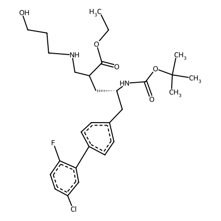 CCOC(=O)C(CNCCCO)C[C@@H](Cc1ccc(-c2cc(Cl)ccc2F)cc1)NC(=O)OC(C)(C)C